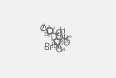 COc1ccc(C(=O)c2cc(Br)c(OC)cc2NC(C)=O)cc1